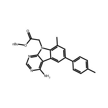 CCCCOC(=O)Cn1c2ncnc(N)c2c2cc(-c3ccc(C)cc3)cc(C)c21